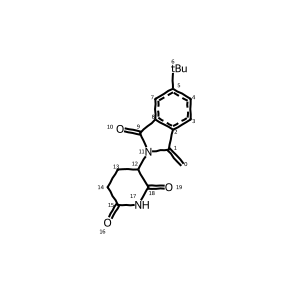 C=C1c2ccc(C(C)(C)C)cc2C(=O)N1C1CCC(=O)NC1=O